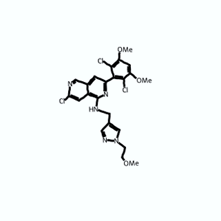 COCCn1cc(CNc2nc(-c3c(Cl)c(OC)cc(OC)c3Cl)cc3cnc(Cl)cc23)cn1